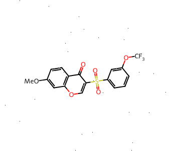 COc1ccc2c(=O)c(S(=O)(=O)c3cccc(OC(F)(F)F)c3)coc2c1